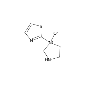 [O-][N+]1(c2nccs2)CCNC1